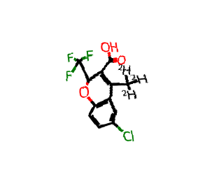 [2H]C([2H])([2H])C1=C(C(=O)O)C(C(F)(F)F)Oc2ccc(Cl)cc21